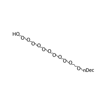 CCCCCCCCCCCCOCCCCOCCOCCOCCOCCOCCOCCOCCOCCOCCOCCO